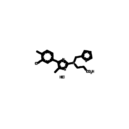 Cc1ccc(-c2nc(N(CCC(=O)O)Cc3cccs3)sc2C)cc1Cl.Cl